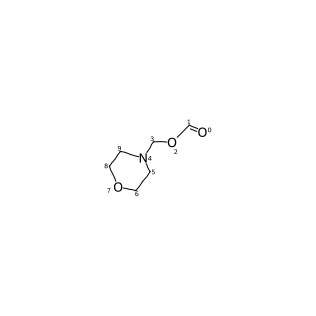 O=COCN1CCOCC1